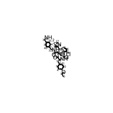 CCOc1ccc(C[C@@H](NC(=O)Oc2sccc2Cl)C(=O)N[C@@H](Cc2cscn2)C(=O)NCc2ccc(CN)cc2)cc1